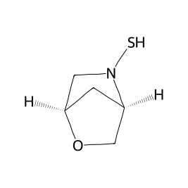 SN1C[C@H]2C[C@@H]1CO2